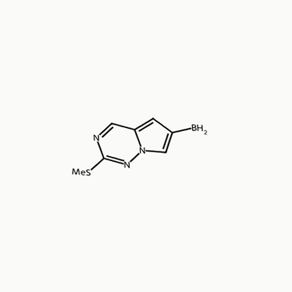 Bc1cc2cnc(SC)nn2c1